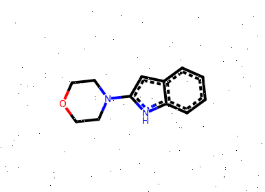 c1ccc2[nH]c(N3CCOCC3)cc2c1